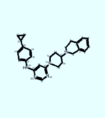 c1ccc2c(c1)CCN(C1CCN(c3cc(Nc4ccc(C5CC5)cc4)ncn3)CC1)C2